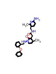 Cc1ccn(NCc2ccccc2Oc2ccccc2)c(=O)c1CC(=O)NCc1ccc(N)nc1C